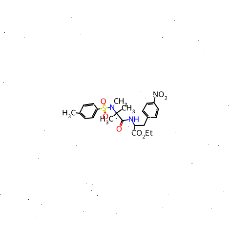 CCOC(=O)[C@H](Cc1ccc([N+](=O)[O-])cc1)NC(=O)C(C)(C)N(C)S(=O)(=O)c1ccc(C)cc1